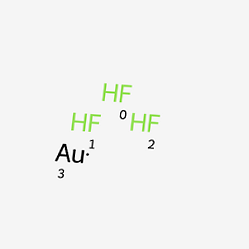 F.F.F.[Au]